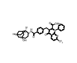 COC(=O)c1c(Cc2ccc(C(=O)N[C@@H]3CC[C@@]4(O)CC5C[C@H](C[C@@H]53)C4)cc2)c(=O)c2ccc(C(F)(F)F)nc2n1-c1ccccc1